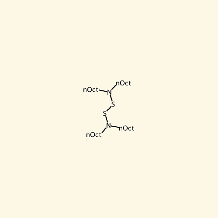 CCCCCCCCN(CCCCCCCC)SSN(CCCCCCCC)CCCCCCCC